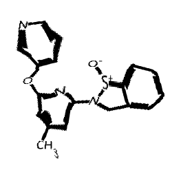 Cc1cc(Oc2cccnc2)nc(N2Cc3ccccc3[S+]2[O-])c1